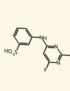 O=S(=O)(O)c1[c]ccc(Nc2cc(F)nc(F)n2)c1